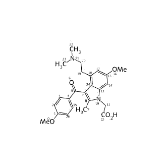 COc1ccc(C(=O)c2c(C)n(CC(=O)O)c3cc(OC)cc(CCN(C)C)c23)cc1